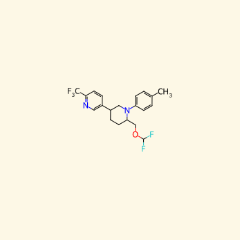 Cc1ccc(N2CC(c3ccc(C(F)(F)F)nc3)CCC2COC(F)F)cc1